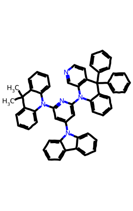 CC1(C)c2ccccc2N(c2cc(-n3c4ccccc4c4ccccc43)cc(N3c4ccccc4C(c4ccccc4)(c4ccccc4)c4ccncc43)n2)c2ccccc21